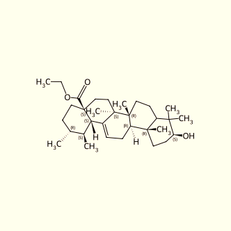 CCOC(=O)[C@]12CC[C@@H](C)[C@H](C)[C@H]1C1=CC[C@@H]3[C@@]4(C)CC[C@H](O)C(C)(C)C4CC[C@@]3(C)[C@]1(C)CC2